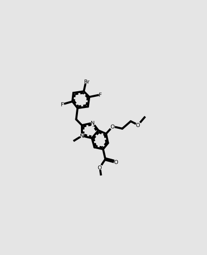 COCCOc1cc(C(=O)OC)cc2c1nc(Cc1cc(F)c(Br)cc1F)n2C